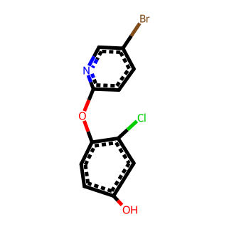 Oc1ccc(Oc2ccc(Br)cn2)c(Cl)c1